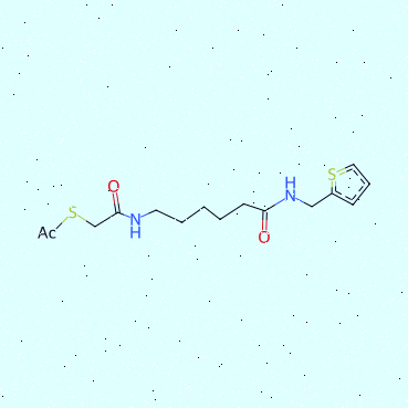 CC(=O)SCC(=O)NCCCCCC(=O)NCc1cccs1